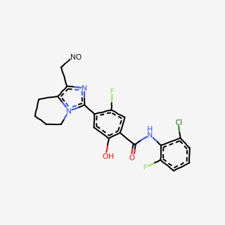 O=NCc1nc(-c2cc(O)c(C(=O)Nc3c(F)cccc3Cl)cc2F)n2c1CCCC2